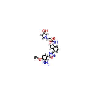 CC(C)Oc1ccc(-c2nc(-c3cccc4c3CC[C@@H]4NS(=O)(=O)CCN3CC[C@H](O)C3)no2)cc1N